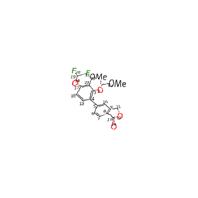 COCOc1c(-c2ccc3c(c2)COC3=O)ccc(OC(F)F)c1OC